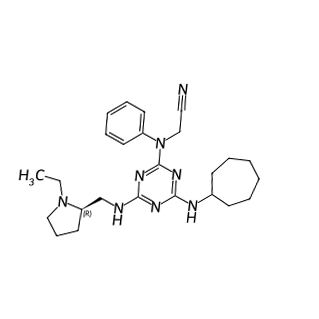 CCN1CCC[C@@H]1CNc1nc(NC2CCCCCC2)nc(N(CC#N)c2ccccc2)n1